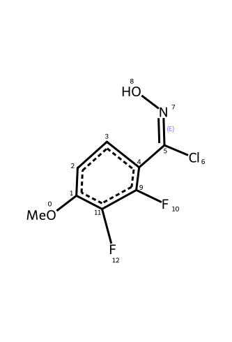 COc1ccc(/C(Cl)=N\O)c(F)c1F